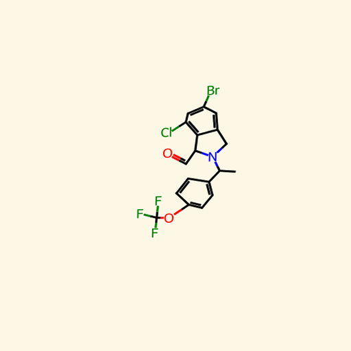 CC(c1ccc(OC(F)(F)F)cc1)N1Cc2cc(Br)cc(Cl)c2C1C=O